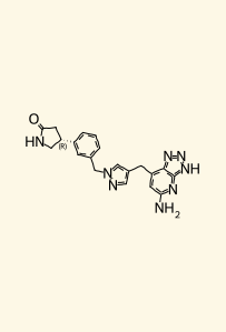 Nc1cc(Cc2cnn(Cc3cccc([C@@H]4CNC(=O)C4)c3)c2)c2nn[nH]c2n1